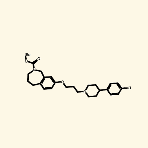 CC(C)(C)OC(=O)N1CCCc2ccc(OCCCN3CCC(c4ccc(Cl)cc4)CC3)cc2C1